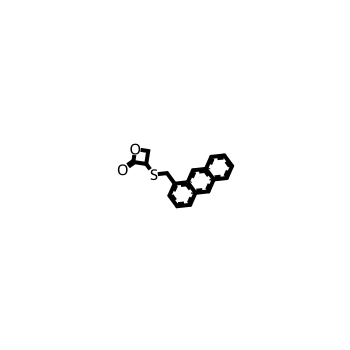 O=C1OCC1SCc1cccc2cc3ccccc3cc12